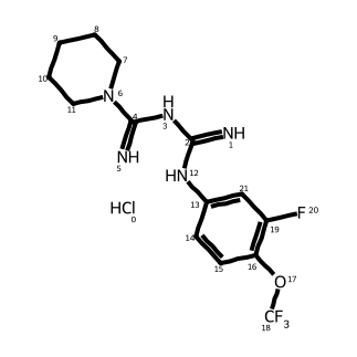 Cl.N=C(NC(=N)N1CCCCC1)Nc1ccc(OC(F)(F)F)c(F)c1